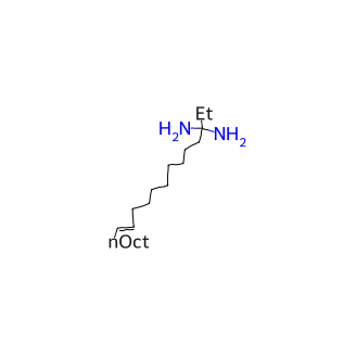 CCCCCCCCC=CCCCCCCCCC(N)(N)CC